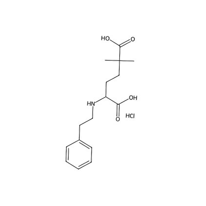 CC(C)(CCC(NCCc1ccccc1)C(=O)O)C(=O)O.Cl